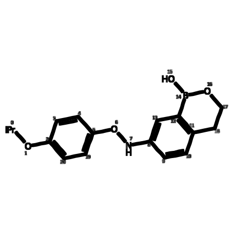 CC(C)Oc1ccc(ONc2ccc3c(c2)B(O)OCC3)cc1